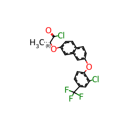 C[C@@H](Oc1ccc2ccc(Oc3ccc(C(F)(F)F)cc3Cl)cc2c1)C(=O)Cl